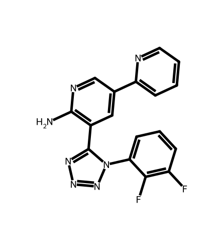 Nc1ncc(-c2ccccn2)cc1-c1nnnn1-c1cccc(F)c1F